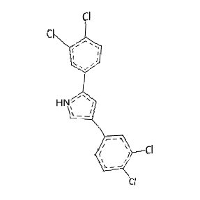 Clc1ccc(-c2c[nH]c(-c3ccc(Cl)c(Cl)c3)c2)cc1Cl